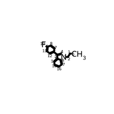 CCCn1cc(-c2ccc(F)cc2)c2ccccc21